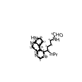 CCCC(CCCNC=O)c1ncnc2cnc3[nH]ccc3c12